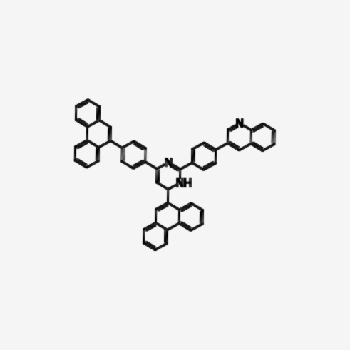 C1=C(c2ccc(-c3cc4ccccc4c4ccccc34)cc2)N=C(c2ccc(-c3cnc4ccccc4c3)cc2)NC1c1cc2ccccc2c2ccccc12